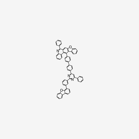 c1ccc(-c2cc(-c3ccc(-c4ccc(-c5c6c(cc7c(-c8ccccc8)nc8ccccc8c57)oc5ccccc56)cc4)cc3)nc(-c3cccc(-c4cccc5c4oc4ccccc45)c3)n2)cc1